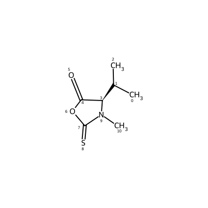 CC(C)[C@@H]1C(=O)OC(=S)N1C